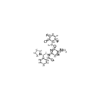 CC(Oc1nc(N(CCN2CCCC2)C(=O)c2ccccc2)cnc1N)c1c(F)ccc(F)c1Cl